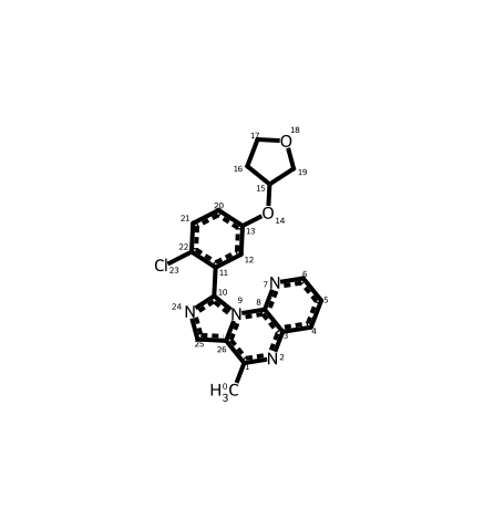 Cc1nc2cccnc2n2c(-c3cc(OC4CCOC4)ccc3Cl)ncc12